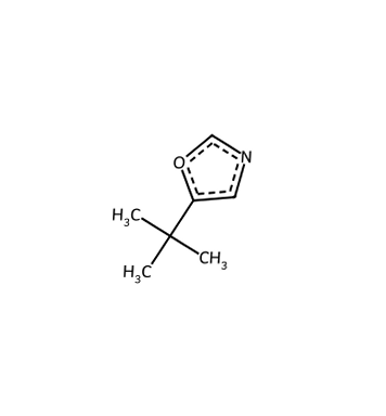 CC(C)(C)c1cnco1